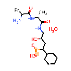 CC(C)[C@H](N)C(=O)N[C@H](C)C(=O)NC[C@H](O)CC(C1CCCCC1)[PH](=O)O.O